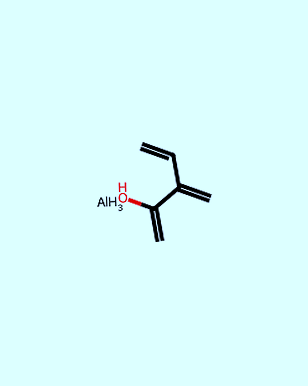 C=CC(=C)C(=C)O.[AlH3]